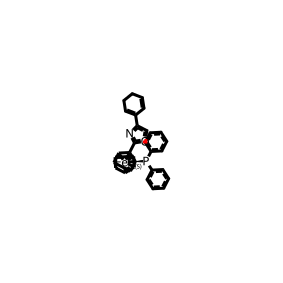 C1=CC(c2coc([C]34[CH]5[CH]6[CH]7[C@]3(P(c3ccccc3)c3ccccc3)[Fe]6574389%10[CH]4[CH]3[CH]8[CH]9[CH]4%10)n2)=CCC1